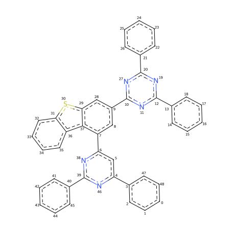 c1ccc(-c2cc(-c3cc(-c4nc(-c5ccccc5)nc(-c5ccccc5)n4)cc4sc5ccccc5c34)nc(-c3ccccc3)n2)cc1